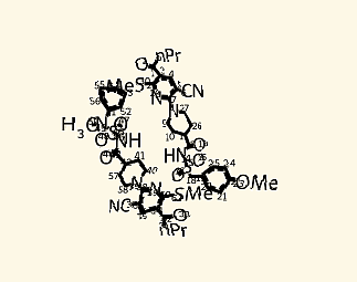 CCCC(=O)c1cc(C#N)c(N2CCC(C(=O)NS(=O)(=O)Cc3ccc(OC)cc3)CC2)nc1SC.CCCC(=O)c1cc(C#N)c(N2CCC(C(=O)NS(=O)(=O)N(C)c3ccccc3)CC2)nc1SC